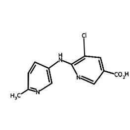 Cc1ccc(Nc2ncc(C(=O)O)cc2Cl)cn1